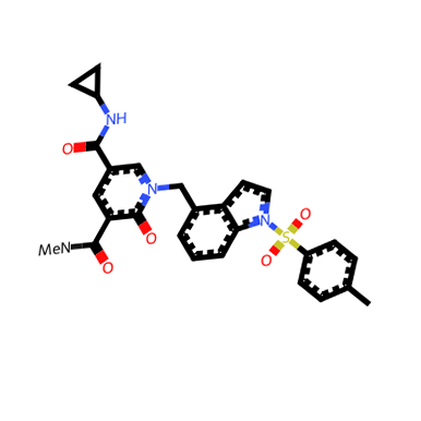 CNC(=O)c1cc(C(=O)NC2CC2)cn(Cc2cccc3c2ccn3S(=O)(=O)c2ccc(C)cc2)c1=O